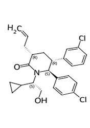 C=CC[C@@H]1C[C@H](c2cccc(Cl)c2)[C@@H](c2ccc(Cl)cc2)N([C@H](CO)C2CC2)C1=O